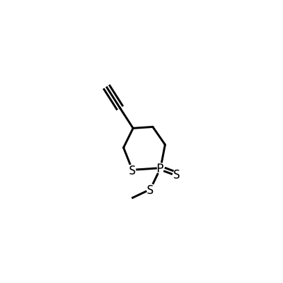 C#CC1CCP(=S)(SC)SC1